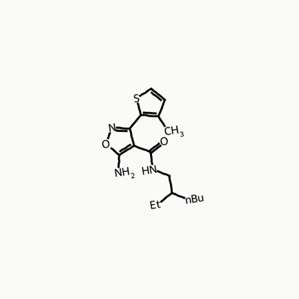 CCCCC(CC)CNC(=O)c1c(-c2sccc2C)noc1N